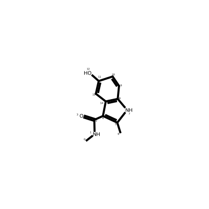 CNC(=O)c1c(C)[nH]c2ccc(O)cc12